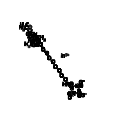 COc1nc(OCCOCCOCCOCCOCCOCCOCCOCCOCCNC(=O)CN2CCN(CC(=O)[O-])CCN(CC(=O)[O-])CCN(CC(=O)[O-])CC2)nc(OC)c1NC(=O)c1ccc(Oc2cc3c(cc2C)CCC3(C)C)o1.[In+3]